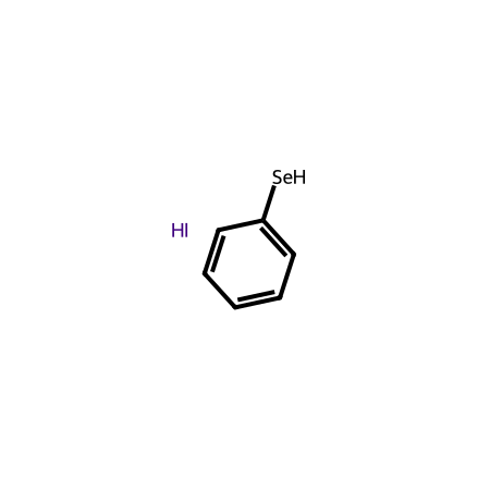 I.[SeH]c1ccccc1